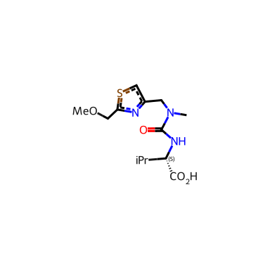 COCc1nc(CN(C)C(=O)N[C@H](C(=O)O)C(C)C)cs1